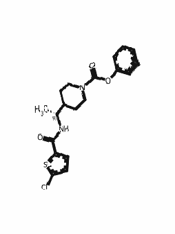 C[C@@H](NC(=O)c1ccc(Cl)s1)C1CCN(C(=O)Oc2ccccc2)CC1